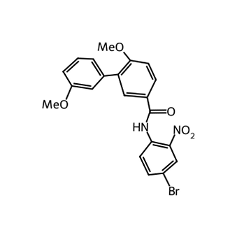 COc1cccc(-c2cc(C(=O)Nc3ccc(Br)cc3[N+](=O)[O-])ccc2OC)c1